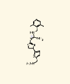 CC(=O)NCc1ccc(-c2csc(/N=C(\N)NCc3c(C)cccc3C)n2)o1